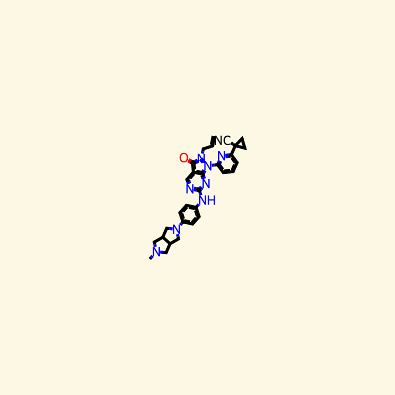 C=CCn1c(=O)c2cnc(Nc3ccc(N4CC5CN(C)CC5C4)cc3)nc2n1-c1cccc(C2(C#N)CC2)n1